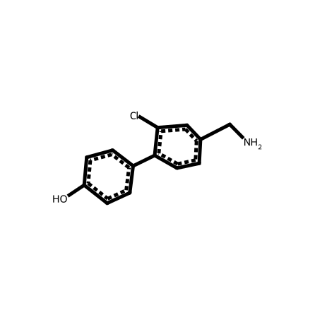 NCc1ccc(-c2ccc(O)cc2)c(Cl)c1